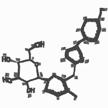 Cc1ccc([C@@H]2OC(CO)[C@@H](O)C(O)C2O)cc1Cc1ccc(-c2ccc(F)cc2)s1